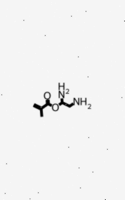 C=C(C)C(=O)OC(N)CN